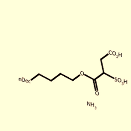 CCCCCCCCCCCCCCOC(=O)C(CC(=O)O)S(=O)(=O)O.N